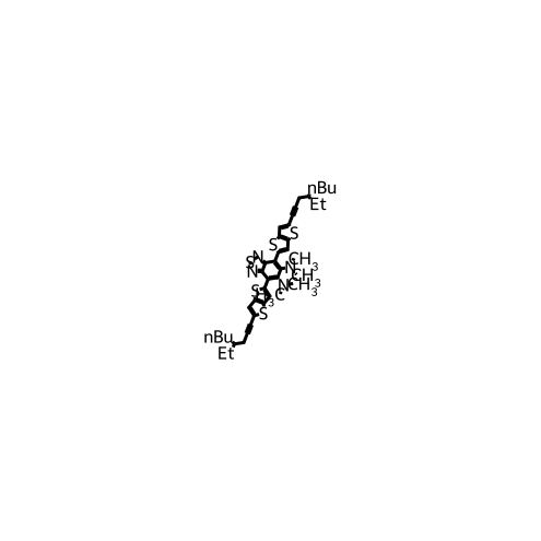 CCCCC(CC)CC#Cc1cc2sc(-c3c(N(C)C)c(N(C)C)c(-c4cc5sc(C#CCC(CC)CCCC)cc5s4)c4nsnc34)cc2s1